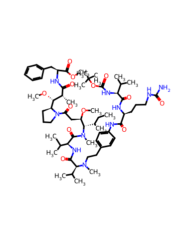 CCC(C)[C@@H]([C@@H](CC(=O)N1CCC[C@H]1[C@H](OC)[C@@H](C)C(=O)N[C@@H](Cc1ccccc1)C(=O)OC)OC)N(C)C(=O)[C@@H](NC(=O)[C@H](C(C)C)N(C)CCc1ccc(NC(=O)[C@H](CCCNC(N)=O)NC(=O)[C@@H](NC(=O)OC(C)(C)C)C(C)C)cc1)C(C)C